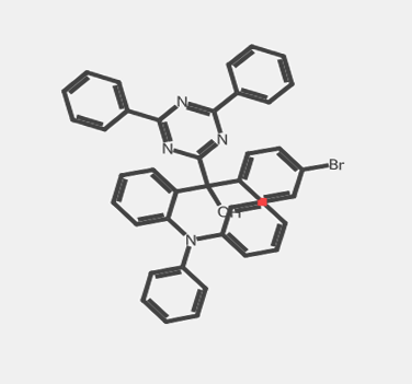 OC(c1ccc(Br)cc1)(c1nc(-c2ccccc2)nc(-c2ccccc2)n1)c1ccccc1N(c1ccccc1)c1ccccc1